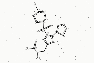 CN(Cc1cc(-c2ccsc2)n(S(=O)(=O)c2ccc(F)cc2)c1)C(=O)O